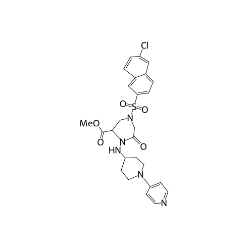 COC(=O)C1CN(S(=O)(=O)c2ccc3cc(Cl)ccc3c2)CC(=O)N1NC1CCN(c2ccncc2)CC1